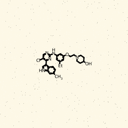 CCc1cc(Nc2ncc(Cl)c(-c3c[nH]c4cc(C)ccc34)n2)cc(OCCN2CCC(O)CC2)c1